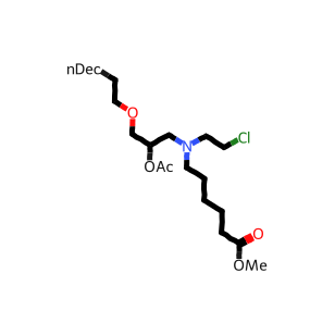 CCCCCCCCCCCCOCC(CN(CCCl)CCCCCC(=O)OC)OC(C)=O